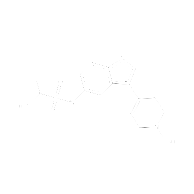 CCCC(CCC)S(=O)(=O)Nc1ccc2[nH]cc(C3=CCN(C(C)(C)C)CC3)c2c1